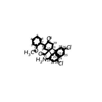 COc1ccccc1C1=C[C@](C=O)(c2ccc(Cl)cc2N)[C@H](c2cccc(Cl)c2)CC1=O